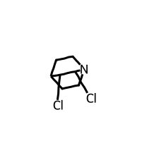 ClC1C2CCN(CC2)C1Cl